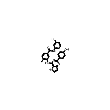 Cc1ccc(C(=O)Nc2cccc(C(F)(F)F)c2)cc1Nc1nc(-c2ccc(O)cc2)nc2cc[nH]c12